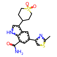 Cc1nc(-c2cc(C(N)=O)c3[nH]cc(C4CCS(=O)(=O)CC4)c3c2)cs1